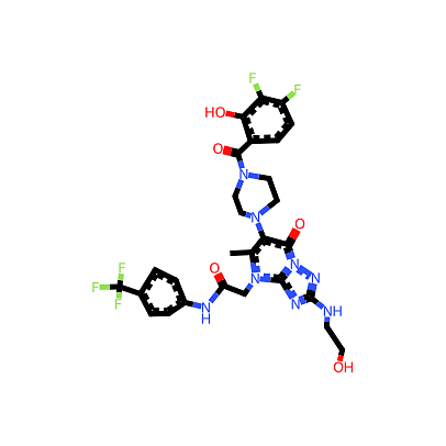 Cc1c(N2CCN(C(=O)c3ccc(F)c(F)c3O)CC2)c(=O)n2nc(NCCO)nc2n1CC(=O)Nc1ccc(C(F)(F)F)cc1